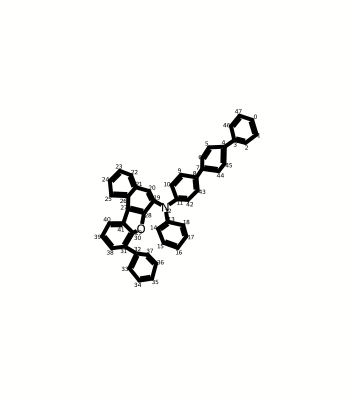 c1ccc(-c2ccc(-c3ccc(N(c4ccccc4)c4cc5ccccc5c5c4oc4c(-c6ccccc6)cccc45)cc3)cc2)cc1